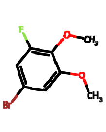 COc1cc(Br)cc(F)c1OC